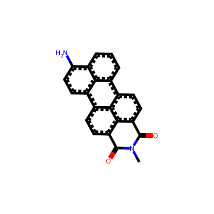 CN1C(=O)c2ccc3c4cccc5c(N)ccc(c6ccc(c2c36)C1=O)c54